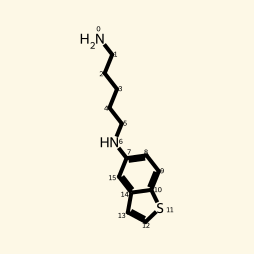 NCCCCCNc1ccc2sccc2c1